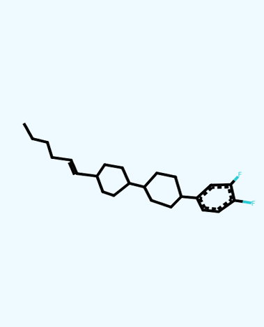 CCCCC=CC1CCC(C2CCC(c3ccc(F)c(F)c3)CC2)CC1